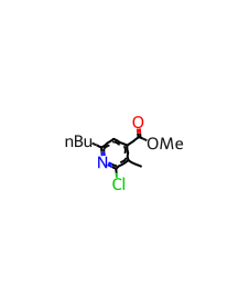 CCCCc1cc(C(=O)OC)c(C)c(Cl)n1